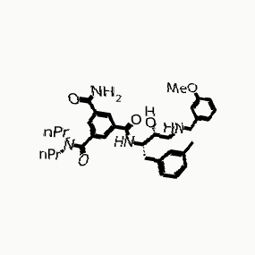 CCCN(CCC)C(=O)c1cc(C(N)=O)cc(C(=O)N[C@@H](Cc2cccc(C)c2)[C@H](O)CNCc2cccc(OC)c2)c1